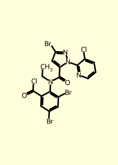 CCN(C(=O)c1cc(Br)nn1-c1ncccc1Cl)c1c(Br)cc(Br)cc1C(=O)Cl